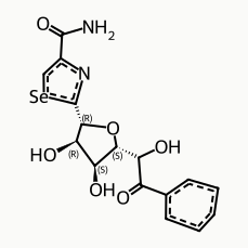 NC(=O)c1c[se]c([C@@H]2O[C@H](C(O)C(=O)c3ccccc3)[C@@H](O)[C@H]2O)n1